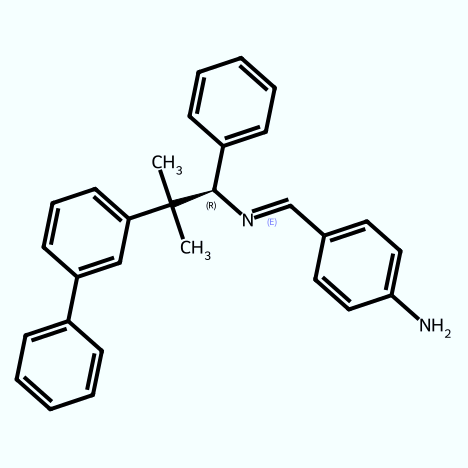 CC(C)(c1cccc(-c2ccccc2)c1)[C@H](/N=C/c1ccc(N)cc1)c1ccccc1